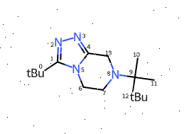 CC(C)(C)c1nnc2n1CCN(C(C)(C)C(C)(C)C)C2